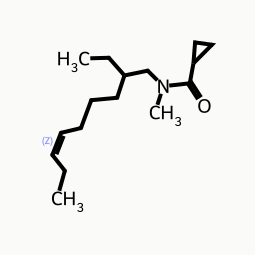 CC/C=C\CCCC(CC)CN(C)C(=O)C1CC1